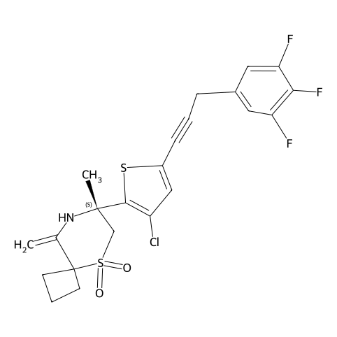 C=C1N[C@](C)(c2sc(C#CCc3cc(F)c(F)c(F)c3)cc2Cl)CS(=O)(=O)C12CCC2